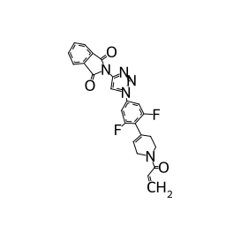 C=CC(=O)N1CC=C(c2c(F)cc(-n3cc(N4C(=O)c5ccccc5C4=O)nn3)cc2F)CC1